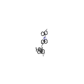 CCOC(=O)/C=C/C(=O)OCCCNS(=O)(=O)CC(C)C